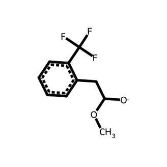 COC([O])Cc1ccccc1C(F)(F)F